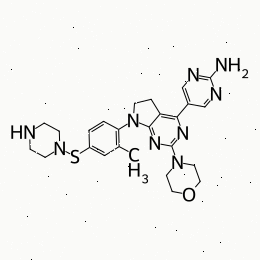 Cc1cc(SN2CCNCC2)ccc1N1CCc2c(-c3cnc(N)nc3)nc(N3CCOCC3)nc21